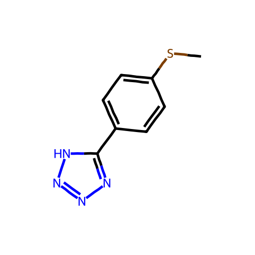 CSc1ccc(-c2nnn[nH]2)cc1